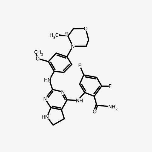 COc1cc(N2CCOC[C@@H]2C)ccc1Nc1nc2c(c(Nc3cc(F)cc(F)c3C(N)=O)n1)CCN2